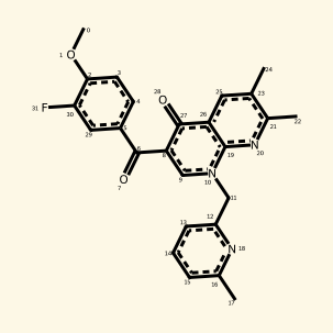 COc1ccc(C(=O)c2cn(Cc3cccc(C)n3)c3nc(C)c(C)cc3c2=O)cc1F